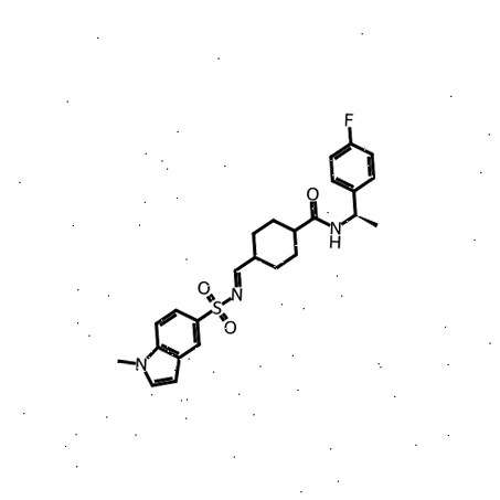 C[C@@H](NC(=O)C1CCC(/C=N/S(=O)(=O)c2ccc3c(ccn3C)c2)CC1)c1ccc(F)cc1